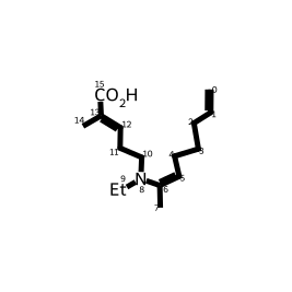 C=CCCC/C=C(/C)N(CC)CCC=C(C)C(=O)O